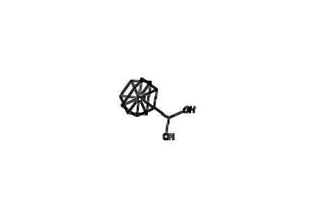 OC(O)[C]12[CH]3[CH]4[CH]5[CH]1[Fe]45321678[CH]2[CH]1[CH]6[CH]7[CH]28